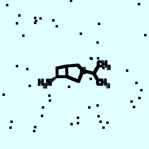 CC(C)N1CC2C[C@@H](N)C2C1